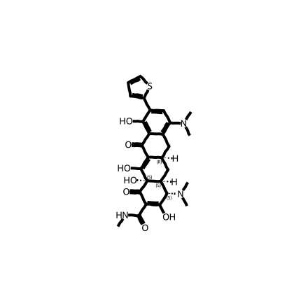 CNC(=O)C1=C(O)[C@@H](N(C)C)[C@@H]2C[C@@H]3Cc4c(N(C)C)cc(-c5cccs5)c(O)c4C(=O)C3=C(O)[C@]2(O)C1=O